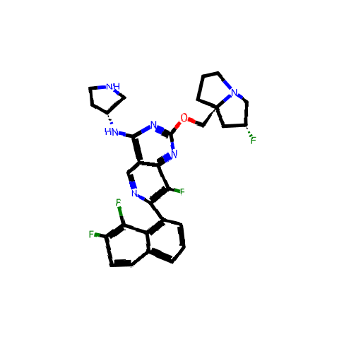 Fc1ccc2cccc(-c3ncc4c(N[C@@H]5CCNC5)nc(OC[C@@]56CCCN5C[C@H](F)C6)nc4c3F)c2c1F